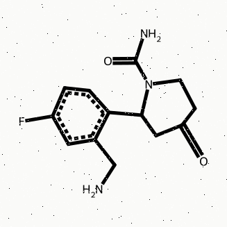 NCc1cc(F)ccc1C1CC(=O)CCN1C(N)=O